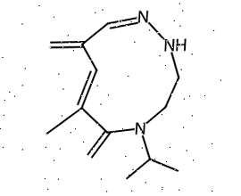 C=C1/C=N\NCCN(C(C)C)C(=C)/C(C)=C/1